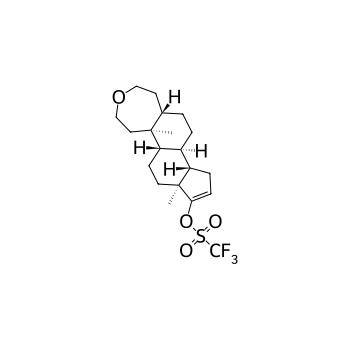 C[C@]12CCOCC[C@@H]1CC[C@@H]1[C@@H]2CC[C@]2(C)C(OS(=O)(=O)C(F)(F)F)=CC[C@@H]12